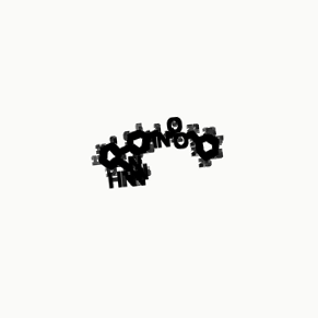 O=C(NCc1ccc(-c2ccccc2-c2nnn[nH]2)cc1)OCc1ccccc1